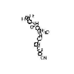 CCc1n[nH]c2ccc(NC(=O)c3ccc4c(c3)nc(CN3CCC(c5cccc(OCc6ccc(C#N)cc6F)n5)CC3)n4C[C@@H]3CCO3)cc12